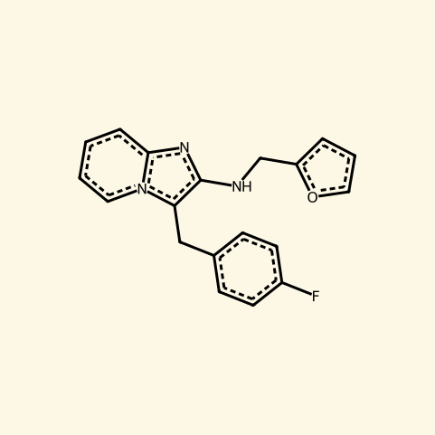 Fc1ccc(Cc2c(NCc3ccco3)nc3ccccn23)cc1